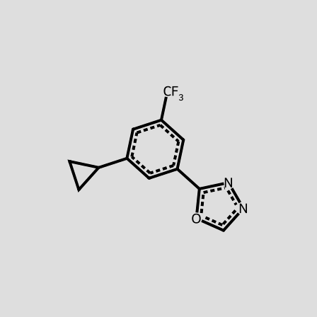 FC(F)(F)c1cc(-c2nnco2)cc(C2CC2)c1